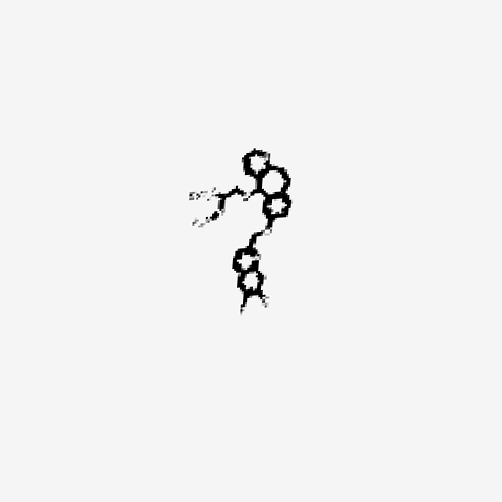 CCOC(=O)C(CSC1c2cc(OCc3ccc4cc(F)c(Cl)cc4n3)ccc2CCc2ncccc21)=NN